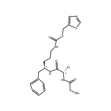 CC[C@H](NC(=O)OC(C)(C)C)C(=O)N[C@H](CCCNC(=O)OCc1cncs1)Cc1ccccc1